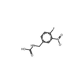 O=C(O)NCc1ccc(F)c([N+](=O)[O-])c1